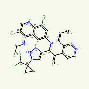 C=C(c1ccncc1/C=C\C)[C@H](Nc1cc(Cl)c2ncc(C#N)c(NCC(C)(C)C)c2c1)C1=CN(C2(C(F)F)CC2)NN1